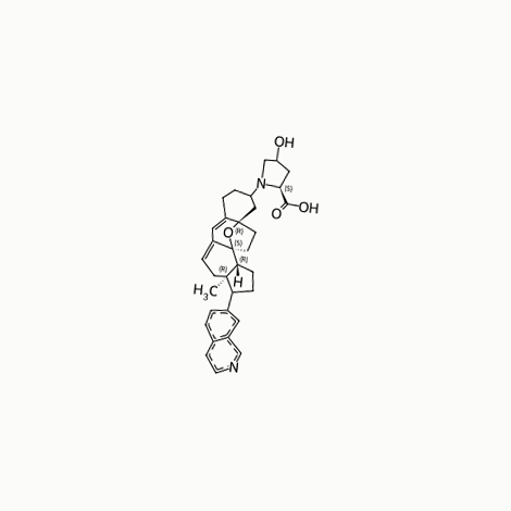 C[C@]12CC=C3C=C4CCC(N5CC(O)C[C@H]5C(=O)O)C[C@]45CC[C@]3(O5)[C@@H]1CCC2c1ccc2ccncc2c1